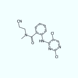 CN(CCC#N)C(=O)c1ccccc1Nc1nc(Cl)ncc1Cl